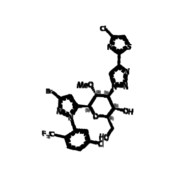 CO[C@@H]1[C@@H](n2cc(-c3nc(Cl)cs3)nn2)[C@@H](O)[C@@H](CO)O[C@H]1c1cc(Br)nn1-c1cc(Cl)ccc1C(F)(F)F